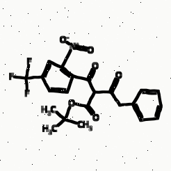 CC(C)(C)OC(=O)C(C(=O)Cc1ccccc1)C(=O)c1ccc(C(F)(F)F)cc1[N+](=O)[O-]